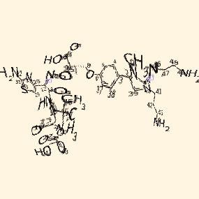 Cn1c(-c2ccc(OC[C@H](O/N=C(\C(=O)N[C@@H]3C(=O)N(OS(=O)(=O)O)C3(C)C)c3csc(N)n3)C(=O)O)cc2)cn(CCCN)/c1=N\CCN